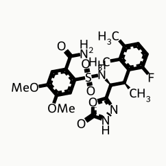 COc1cc(C(N)=O)c(S(=O)(=O)N[C@H](c2n[nH]c(=O)o2)[C@H](C)c2c(F)ccc(C)c2C)cc1OC